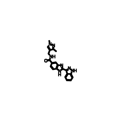 Cc1nn(C)cc1CNC(=O)c1ccc2[nH]c(-c3n[nH]c4ccccc34)nc2c1